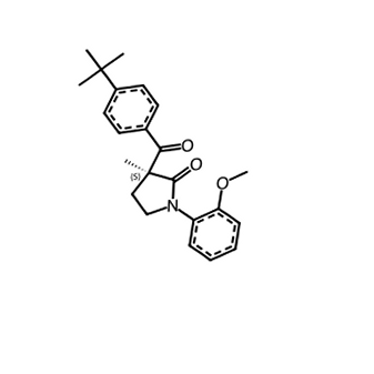 COc1ccccc1N1CC[C@@](C)(C(=O)c2ccc(C(C)(C)C)cc2)C1=O